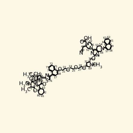 CC(C(=O)NC(C(=O)N1CCCC1c1nc(-c2ccc(OCCOCCOCCO[C@@H]3C[C@@H](COc4nc5c(c(N6CCN(C(=O)O)C(CC#N)C6)n4)CCN(c4cccc6ccccc46)C5)N(C)C3)c3ccccc23)cs1)C1CCCCC1)N(C)C(=O)OC(C)(C)C